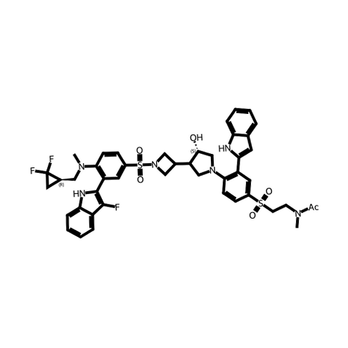 CC(=O)N(C)CCS(=O)(=O)c1ccc(N2CC(C3CN(S(=O)(=O)c4ccc(N(C)C[C@H]5CC5(F)F)c(-c5[nH]c6ccccc6c5F)c4)C3)[C@H](O)C2)c(-c2cc3ccccc3[nH]2)c1